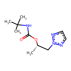 C[C@@H](Cn1nccn1)OC(=O)NC(C)(C)C